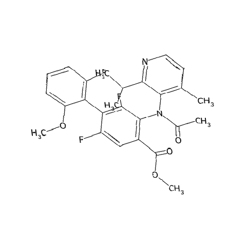 COC(=O)c1cc(F)c(-c2c(F)cccc2OC)c(F)c1N(C(C)=O)c1c(C)ccnc1C(C)C